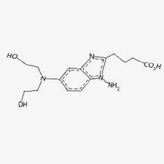 Nn1c(CCCC(=O)O)nc2cc(N(CCO)CCO)ccc21